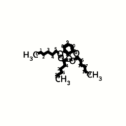 CCCCCCOc1cccc(OC(=O)CCCCC)c1OC(=O)CCCCC